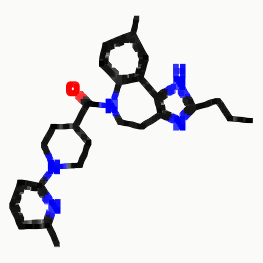 CCCc1nc2c([nH]1)-c1cc(C)ccc1N(C(=O)C1CCN(c3cccc(C)n3)CC1)CC2